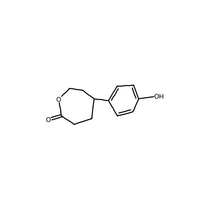 O=C1CCC(c2ccc(O)cc2)CCO1